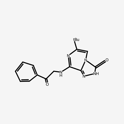 CC(C)(C)c1cn2c(=O)[nH]nc2c(NCC(=O)c2ccccc2)n1